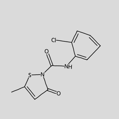 Cc1cc(=O)n(C(=O)Nc2ccccc2Cl)s1